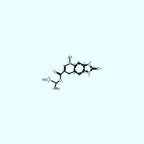 CCCCC(OC(=O)C1=CN(CC)c2cc3oc(=O)oc3cc2C1)C(=O)O